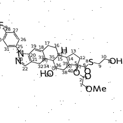 COCC(=O)O[C@]1(C(=O)SCCO)CCC2[C@@H]3CCC4=Cc5c(cnn5-c5ccc(F)cc5)C[C@]4(C)C3[C@@H](O)C[C@@]21C